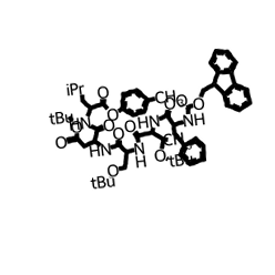 Cc1ccc(OC(=O)C(CC(C)C)NC(=O)C(CC(=O)OC(C)(C)C)NC(=O)C(COC(C)(C)C)NC(=O)C(NC(=O)C(Cc2ccccc2)NC(=O)OCC2c3ccccc3-c3ccccc32)C(C)OC(C)(C)C)cc1